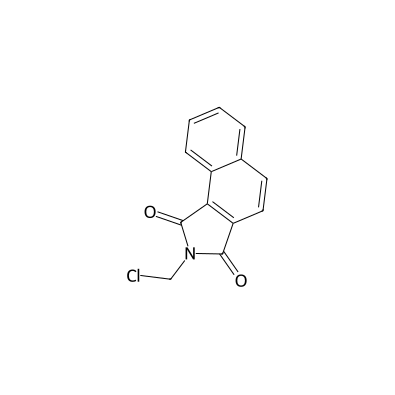 O=C1c2ccc3ccccc3c2C(=O)N1CCl